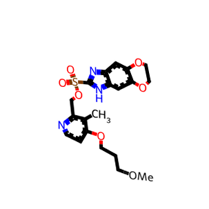 COCCCOc1ccnc(COS(=O)(=O)c2nc3cc4c(cc3[nH]2)OCCO4)c1C